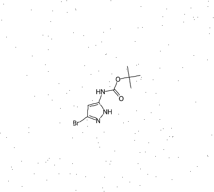 CC(C)(C)OC(=O)Nc1cc(Br)n[nH]1